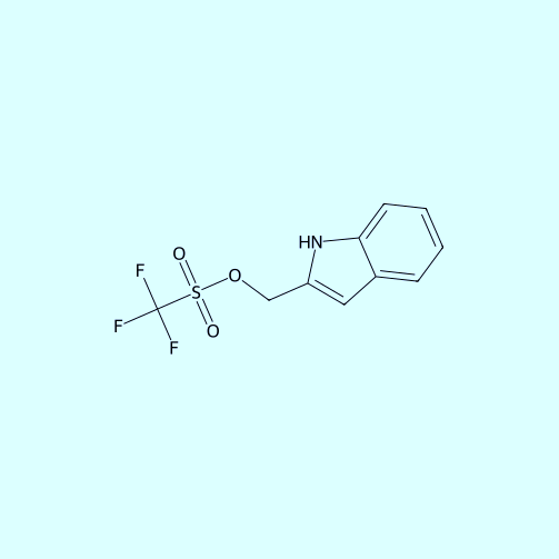 O=S(=O)(OCc1cc2ccccc2[nH]1)C(F)(F)F